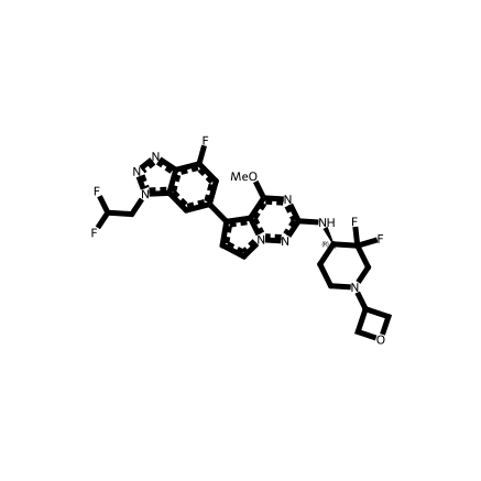 COc1nc(N[C@@H]2CCN(C3COC3)CC2(F)F)nn2ccc(-c3cc(F)c4nnn(CC(F)F)c4c3)c12